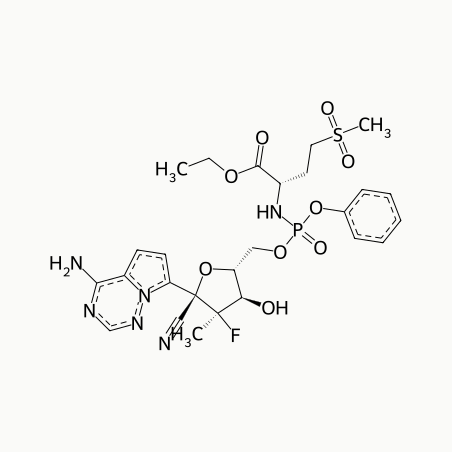 CCOC(=O)[C@H](CCS(C)(=O)=O)NP(=O)(OC[C@H]1O[C@@](C#N)(c2ccc3c(N)ncnn23)[C@](C)(F)[C@@H]1O)Oc1ccccc1